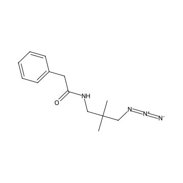 CC(C)(CN=[N+]=[N-])CNC(=O)Cc1ccccc1